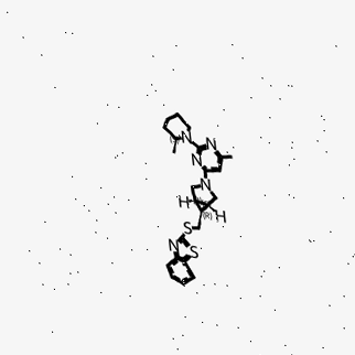 Cc1cc(N2C[C@@H]3[C@@H](CSc4nc5ccccc5s4)[C@@H]3C2)nc(N2CCCC[C@@H]2C)n1